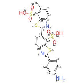 Cc1ccc2nc(-c3ccc4nc(-c5ccc(N)cc5)sc4c3S(=O)(=O)O)sc2c1S(=O)(=O)O